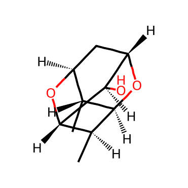 C[C@@H]1[C@@H]2O[C@H]3C[C@H](O[C@@H]1[C@@H]3O)[C@H]2C